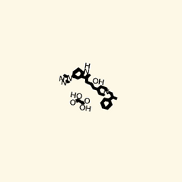 CC(CN1CCC(CC(O)Cc2c[nH]c3ccc(-n4cnnc4)cc23)CC1)c1ccccc1.O=C(O)C(=O)O